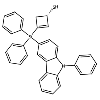 S[C@@H]1C=C([Si](c2ccccc2)(c2ccccc2)c2ccc3c(c2)c2ccccc2n3-c2ccccc2)C1